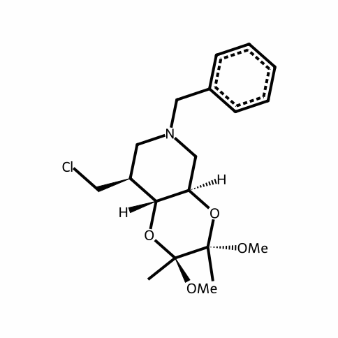 CO[C@@]1(C)O[C@@H]2[C@@H](CCl)CN(Cc3ccccc3)C[C@H]2O[C@]1(C)OC